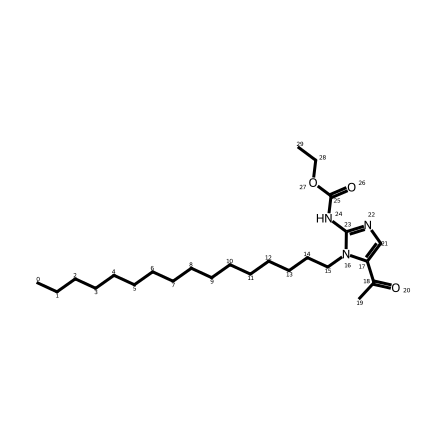 CCCCCCCCCCCCCCCCn1c(C(C)=O)cnc1NC(=O)OCC